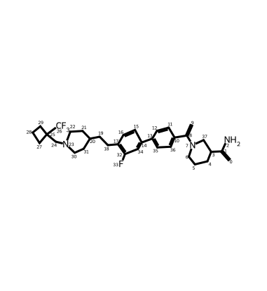 C=C(N)C1CCCN(C(=C)c2ccc(-c3ccc(CCC4CCN(CC5(C(F)(F)F)CCC5)CC4)c(F)c3)cc2)C1